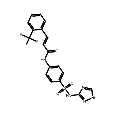 O=C(/C=C/c1ccccc1C(F)(F)F)Nc1ccc(S(=O)(=O)Nc2nc[nH]n2)cc1